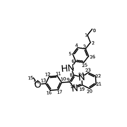 CCCc1ccc(Nc2c(-c3ccc(OC)cc3)nc3ccccn23)cc1